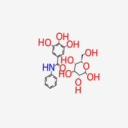 O=C(Nc1ccccc1)c1cc(O)c(O)c(O)c1.OC[C@H]1O[C@@H](O)[C@H](O)[C@@H](O)[C@@H]1O